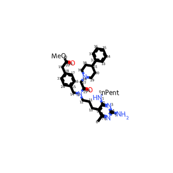 CCCCCNc1nc(N)nc(C)c1CCCN(Cc1ccc(CC(=O)OC)cc1)C(=O)CN1CCC(c2ccccc2)CC1